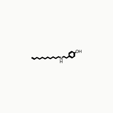 C=CCCCCCCCCCNCCc1ccc(O)cc1